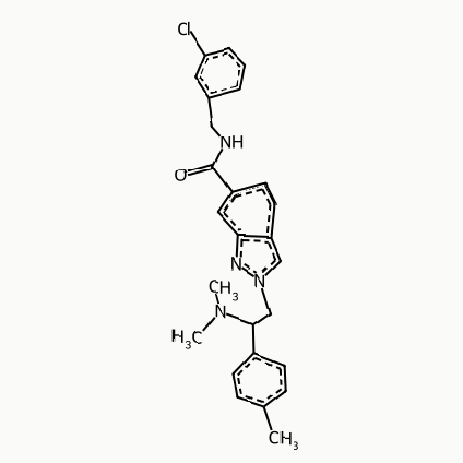 Cc1ccc(C(Cn2cc3ccc(C(=O)NCc4cccc(Cl)c4)cc3n2)N(C)C)cc1